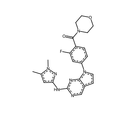 Cc1cc(Nc2ncc3ccn(-c4ccc(C(=O)N5CCOCC5)c(F)c4)c3n2)nn1C